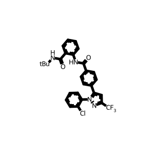 CC(C)(C)NC(=O)c1ccccc1NC(=O)c1ccc(-c2cc(C(F)(F)F)nn2-c2ccccc2Cl)cc1